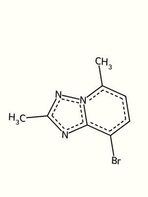 Cc1nc2c(Br)ccc(C)n2n1